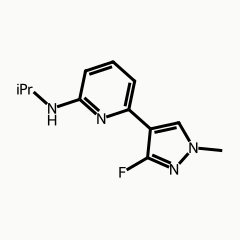 CC(C)Nc1cccc(-c2cn(C)nc2F)n1